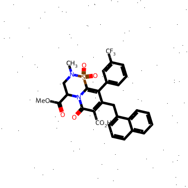 COC(=O)C1CN(C)S(=O)(=O)c2c(-c3cccc(C(F)(F)F)c3)c(Cc3cccc4ccccc34)c(C(=O)O)c(=O)n21